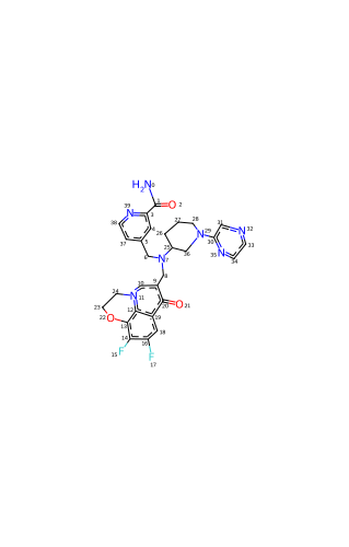 NC(=O)c1cc(CN(Cc2cn3c4c(c(F)c(F)cc4c2=O)OCC3)C2CCCN(c3cnccn3)C2)ccn1